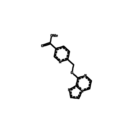 COC(=O)c1ccc(COc2nccn3ccnc23)nc1